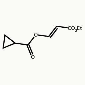 CCOC(=O)C=COC(=O)C1CC1